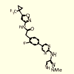 CN/N=C(\C=N)Nc1ncc(-c2ccc(CC(=O)Nc3cc(C4(C(F)(F)F)CC4)on3)c(F)c2)cn1